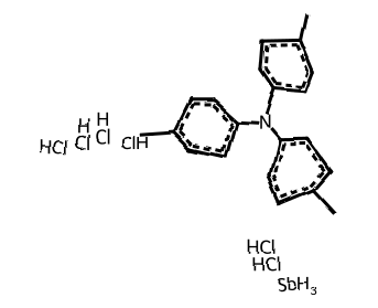 Cc1ccc(N(c2ccc(C)cc2)c2ccc(C)cc2)cc1.Cl.Cl.Cl.Cl.Cl.Cl.[SbH3]